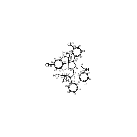 CC(C)(C)C[C@H]1N([C@H](c2ccccc2)[C@@H](O)c2ccccc2)[C@@H](CO)[C@H](c2cccc(Cl)c2F)[C@@]12C(=O)Nc1cc(Cl)ccc12